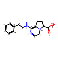 O=C(O)C1CCC2=C(NCCc3ccccc3)N=CCN21